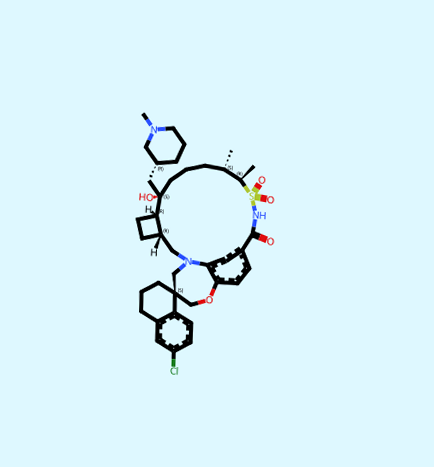 C[C@@H]1[C@@H](C)CCC[C@](O)(C[C@H]2CCCN(C)C2)[C@@H]2CC[C@H]2CN2C[C@@]3(CCCc4cc(Cl)ccc43)COc3ccc(cc32)C(=O)NS1(=O)=O